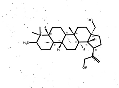 C=C(CO)[C@@H]1CC[C@]2(CO)CC[C@]3(C)[C@H](CC[C@@H]4[C@@]5(C)CCC(N)C(C)(C)[C@@H]5CC[C@]43C)[C@@H]12